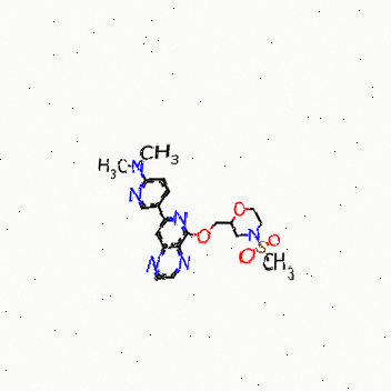 CN(C)c1ccc(-c2cc3nccnc3c(OCC3CN(S(C)(=O)=O)CCO3)n2)cn1